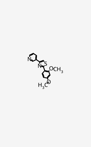 COc1ccc(-c2nc(-c3cccnc3)cs2)c(OC)c1